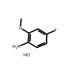 COc1cc(F)ccc1N.Cl